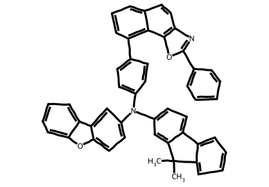 CC1(C)c2ccccc2-c2ccc(N(c3ccc(-c4cccc5ccc6nc(-c7ccccc7)oc6c45)cc3)c3ccc4oc5ccccc5c4c3)cc21